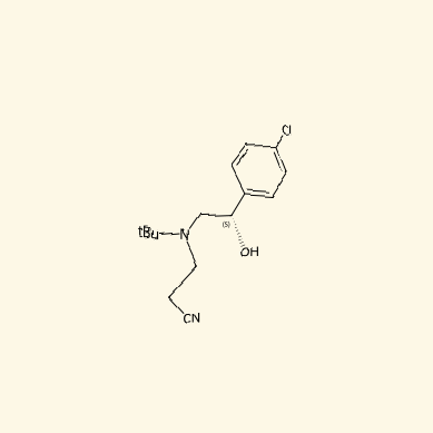 CC(C)(C)N(CCC#N)C[C@@H](O)c1ccc(Cl)cc1